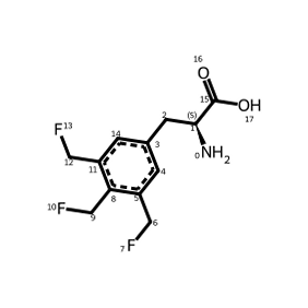 N[C@@H](Cc1cc(CF)c(CF)c(CF)c1)C(=O)O